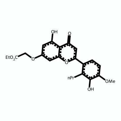 CCCc1c(-c2cc(=O)c3c(O)cc(OCC(=O)OCC)cc3o2)ccc(OC)c1O